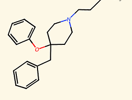 CCCCN1CCC(Cc2ccccc2)(Oc2ccccc2)CC1